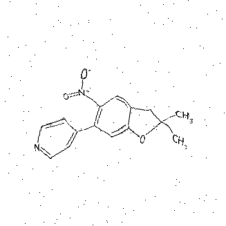 CC1(C)Cc2cc([N+](=O)[O-])c(-c3ccncc3)cc2O1